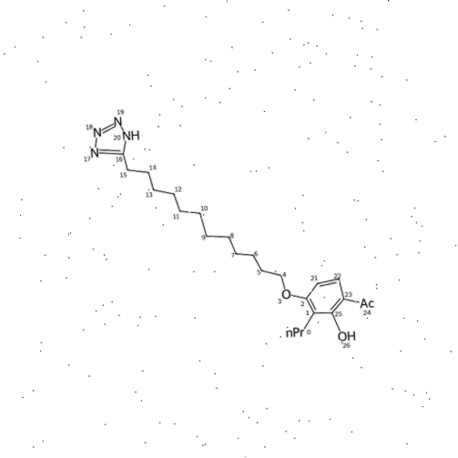 CCCc1c(OCCCCCCCCCCCCc2nnn[nH]2)ccc(C(C)=O)c1O